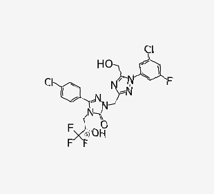 O=c1n(Cc2nc(CO)n(-c3cc(F)cc(Cl)c3)n2)nc(-c2ccc(Cl)cc2)n1C[C@H](O)C(F)(F)F